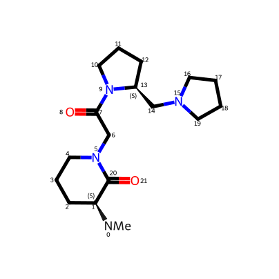 CN[C@H]1CCCN(CC(=O)N2CCC[C@H]2CN2CCCC2)C1=O